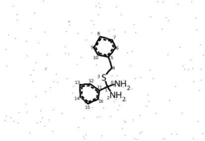 NC(N)(SCc1ccccc1)c1ccccc1